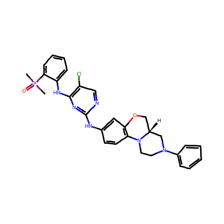 CP(C)(=O)c1ccccc1Nc1nc(Nc2ccc3c(c2)OC[C@@H]2CN(c4ccccc4)CCN32)ncc1Cl